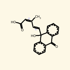 CC(=C/C(=O)O)/C=C/C1(O)c2ccccc2C(=O)c2ccccc21